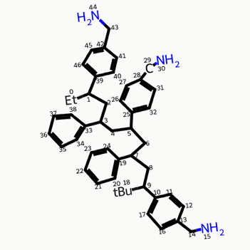 CCC(CC(CC(CC(CC(c1ccc(CN)cc1)C(C)(C)C)c1ccccc1)c1ccc(CN)cc1)c1ccccc1)c1ccc(CN)cc1